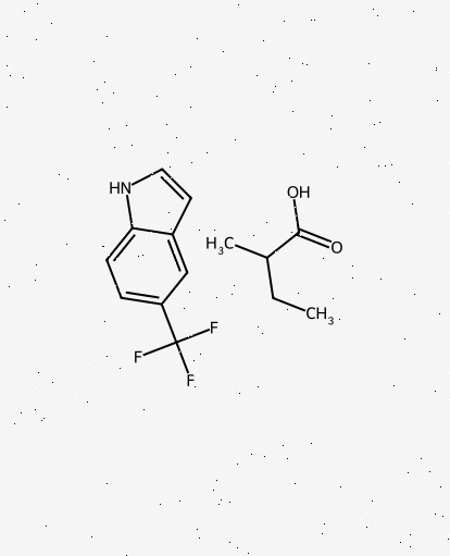 CCC(C)C(=O)O.FC(F)(F)c1ccc2[nH]ccc2c1